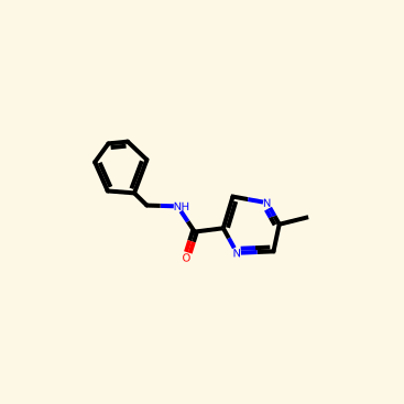 Cc1cnc(C(=O)NCc2ccccc2)cn1